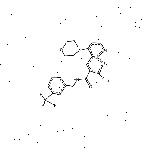 Cc1nc2nccc(N3CCOCC3)c2cc1C(=O)NCc1cccc(C(F)(F)F)c1